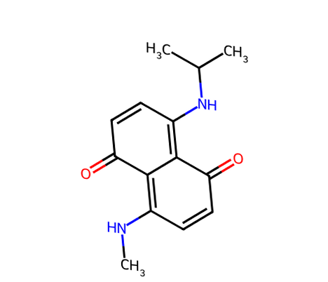 CNC1=C2C(=O)C=CC(NC(C)C)=C2C(=O)C=C1